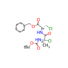 CC(C)(C)OC(=O)N[C@](C)(Cl)C(=O)N[C@@H](CCl)C(=O)OCc1ccccc1